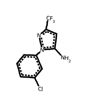 Nc1cc(C(F)(F)F)nn1-c1cccc(Cl)c1